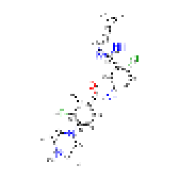 Cc1c(C(=O)Nc2ccc(Cl)c(-c3ncc(C4CC4)[nH]3)c2)ccc(N2C[C@@H](C)N(C)[C@@H](C)C2)c1F